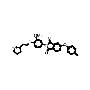 COc1cc(N2C(=O)c3ccc(Oc4ccc(C)cc4)cc3C2=O)ccc1OCCC1CCCN1